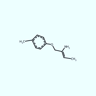 C/C=C(\N)COc1ccc(C)cc1